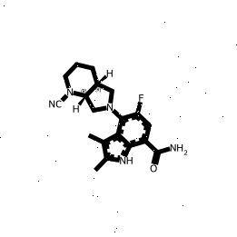 Cc1[nH]c2c(C(N)=O)cc(F)c(N3C[C@H]4CCCN(C#N)[C@H]4C3)c2c1C